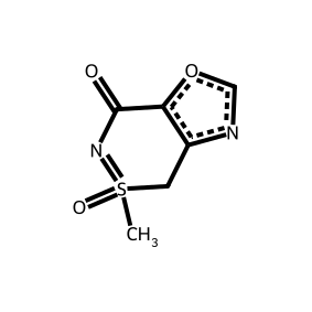 CS1(=O)=NC(=O)c2ocnc2C1